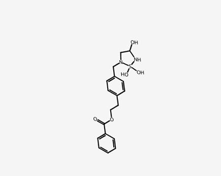 O=C(OCCc1ccc(CN2CC(O)NS2(O)O)cc1)c1ccccc1